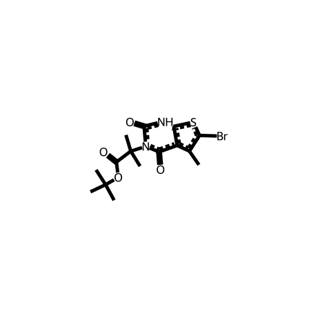 Cc1c(Br)sc2[nH]c(=O)n(C(C)(C)C(=O)OC(C)(C)C)c(=O)c12